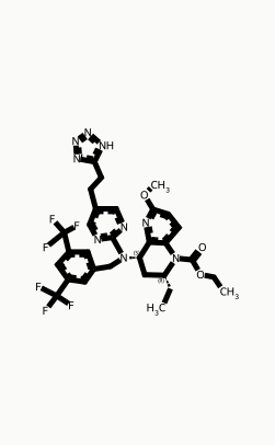 CCOC(=O)N1c2ccc(OC)nc2[C@@H](N(Cc2cc(C(F)(F)F)cc(C(F)(F)F)c2)c2ncc(CCc3nnn[nH]3)cn2)C[C@H]1CC